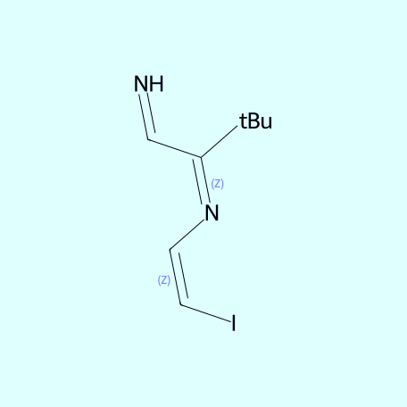 CC(C)(C)/C(C=N)=N/C=C\I